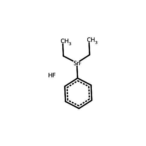 C[CH2][Sn]([CH2]C)[c]1ccccc1.F